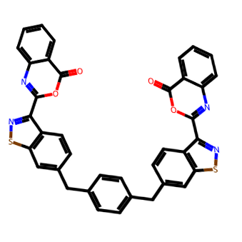 O=c1oc(-c2nsc3cc(Cc4ccc(Cc5ccc6c(-c7nc8ccccc8c(=O)o7)nsc6c5)cc4)ccc23)nc2ccccc12